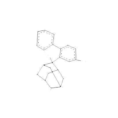 OC1(c2cc(Cl)ccc2-c2ccccc2)C2CC3CC(C2)CC1C3